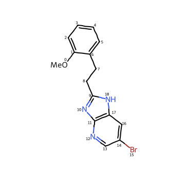 COc1ccccc1CCc1nc2ncc(Br)cc2[nH]1